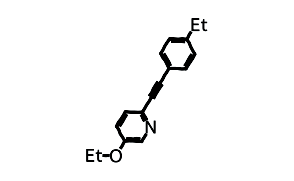 CCOc1ccc(C#Cc2ccc(CC)cc2)nc1